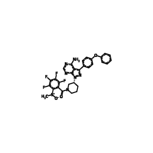 C[S+]([O-])c1c(F)c(F)c(F)c(F)c1C(=O)N1CCC[C@@H](n2nc(-c3ccc(Oc4ccccc4)cc3)c3c(N)ncnc32)C1